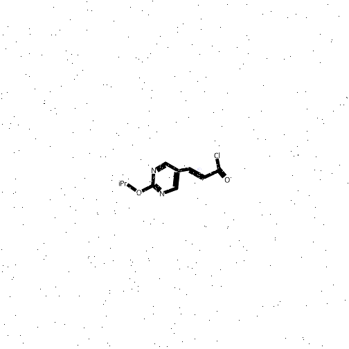 CC(C)Oc1ncc(/C=C/C(=O)Cl)cn1